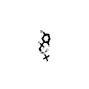 CC(C)(C)[S+]([O-])/N=C\C(F)(F)c1cc(Br)ccc1F